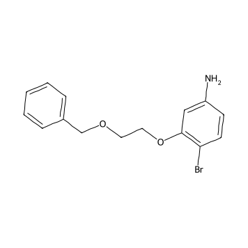 Nc1ccc(Br)c(OCCOCc2ccccc2)c1